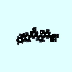 CC1(C)c2ccccc2-c2ccc(-c3cc(-c4cccc(-c5cc(B(O)O)ccc5Cl)c4)nc(Cl)n3)cc21